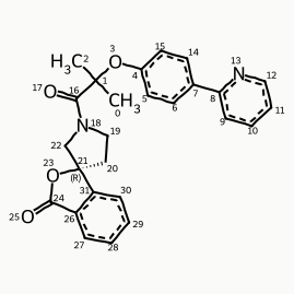 CC(C)(Oc1ccc(-c2ccccn2)cc1)C(=O)N1CC[C@@]2(C1)OC(=O)c1ccccc12